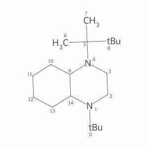 CC(C)(C)N1CCN(C(C)(C)C(C)(C)C)C2CCCCC21